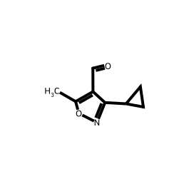 Cc1onc(C2CC2)c1C=O